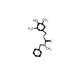 Cc1cc(CSC(=S)N(C)Cc2ccccc2)cc(C)c1O